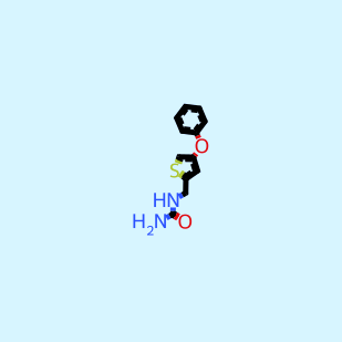 NC(=O)NCc1cc(Oc2ccccc2)cs1